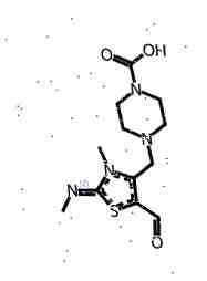 C/N=c1\sc(C=O)c(CN2CCN(C(=O)O)CC2)n1C